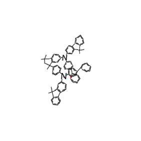 CC1(C)CC(C)(c2ccc(N(c3ccc(-c4ccccc4)cc3)c3ccc4c(c3)C(C)(C)c3ccccc3-4)cc2)c2cc(N(c3ccc(-c4ccccc4)cc3)c3ccc4c(c3)C(C)(C)c3ccccc3-4)ccc21